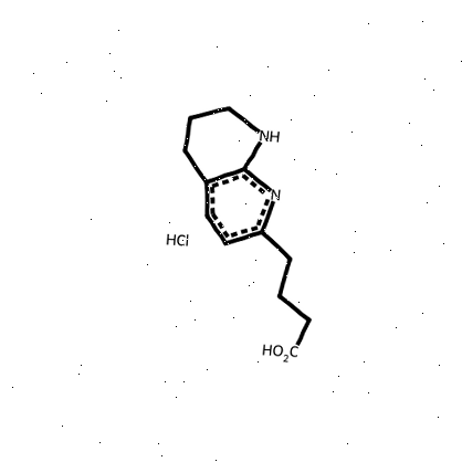 Cl.O=C(O)CCCc1ccc2c(n1)NCCC2